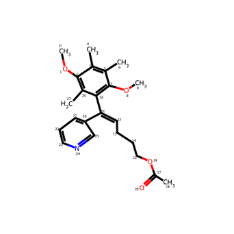 COc1c(C)c(C)c(OC)c(/C(=C/CCCOC(C)=O)c2cccnc2)c1C